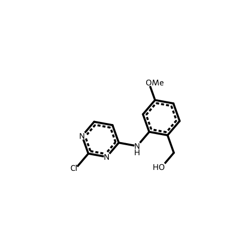 COc1ccc(CO)c(Nc2ccnc(Cl)n2)c1